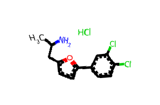 CC(N)Cc1ccc(-c2ccc(Cl)c(Cl)c2)o1.Cl